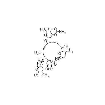 CCC(=O)C(C)C(O)C(C)CC(C)C1OC(=O)C[C@@]2(O)CC=C(C)C(O2)C(C)=CCCCC(OC2CC(OC(N)=O)C(O)C(C)O2)C=CC(C)CC1C